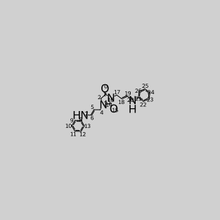 O=C1CN(CC=CNc2ccccc2)C(=O)N1CC=CNc1ccccc1